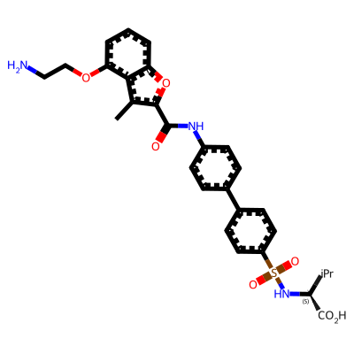 Cc1c(C(=O)Nc2ccc(-c3ccc(S(=O)(=O)N[C@H](C(=O)O)C(C)C)cc3)cc2)oc2cccc(OCCN)c12